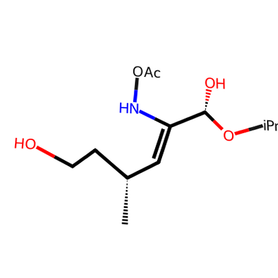 CC(=O)ON/C(=C\[C@H](C)CCO)[C@H](O)OC(C)C